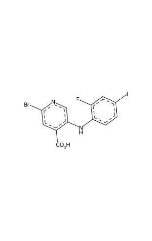 O=C(O)c1cc(Br)ncc1Nc1ccc(I)cc1F